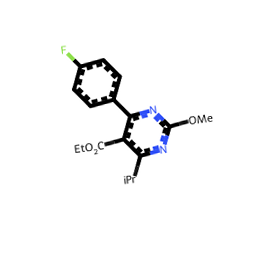 CCOC(=O)c1c(-c2ccc(F)cc2)nc(OC)nc1C(C)C